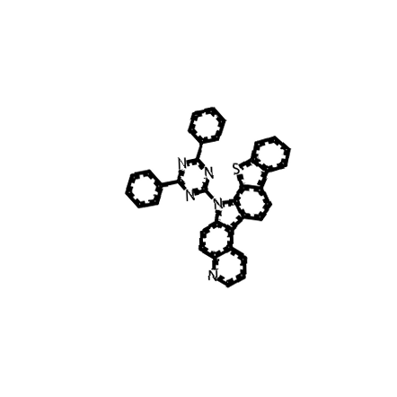 c1ccc(-c2nc(-c3ccccc3)nc(-n3c4ccc5ncccc5c4c4ccc5c6ccccc6sc5c43)n2)cc1